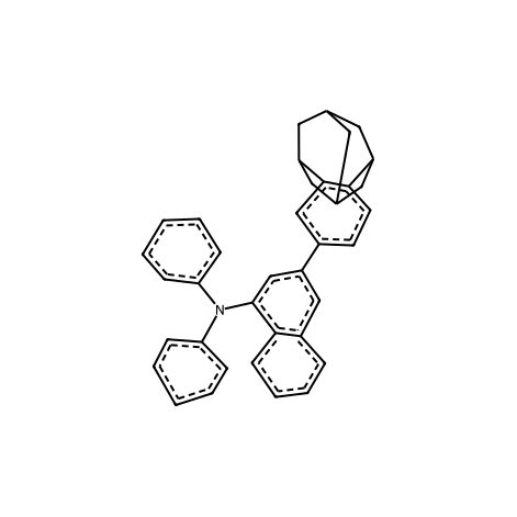 c1ccc(N(c2ccccc2)c2cc(-c3ccc4c(c3)C3CC5CC(CC4C5)C3)cc3ccccc23)cc1